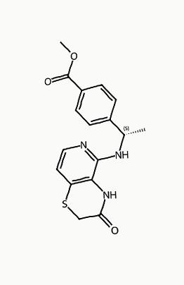 COC(=O)c1ccc([C@H](C)Nc2nccc3c2NC(=O)CS3)cc1